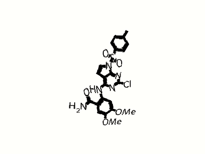 COc1cc(Nc2nc(Cl)nc3c2ccn3S(=O)(=O)c2ccc(C)cc2)c(C(N)=O)cc1OC